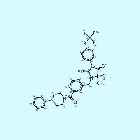 CC1(C)C(=O)N(c2ccc(SC(F)(F)F)cc2)C(=O)N1Cc1ccnc(C(=O)N2CCN(c3ccccc3)CC2)c1